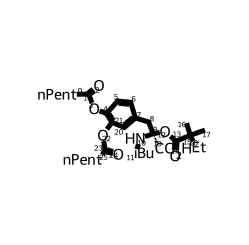 CCCCCC(=O)Oc1ccc(C[C@](NC(C)CC)(OC(=O)C(C)(C)CC)C(=O)O)cc1OC(=O)CCCCC